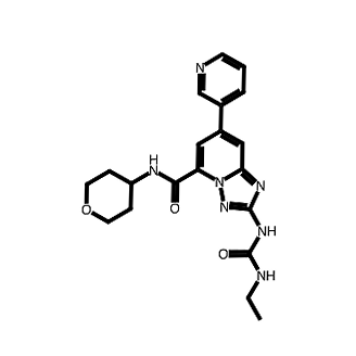 CCNC(=O)Nc1nc2cc(-c3cccnc3)cc(C(=O)NC3CCOCC3)n2n1